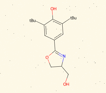 CC(C)(C)c1cc(C2=NC(CO)CO2)cc(C(C)(C)C)c1O